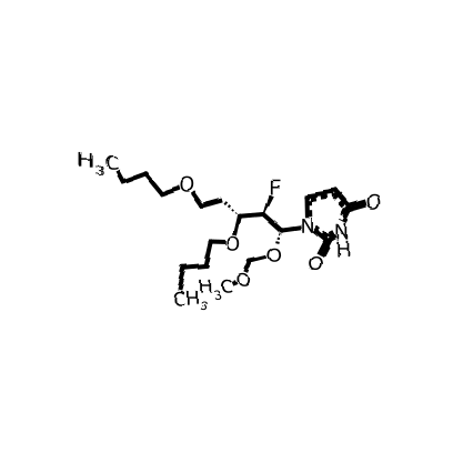 CCCCOCC[C@@H](OCCCC)[C@@H](F)[C@@H](OCOC)n1ccc(=O)[nH]c1=O